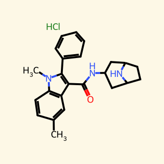 Cc1ccc2c(c1)c(C(=O)NC1CC3CCC(C1)N3)c(-c1ccccc1)n2C.Cl